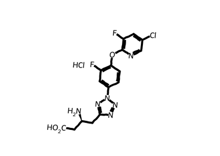 Cl.N[C@H](CC(=O)O)Cc1nnn(-c2ccc(Oc3ncc(Cl)cc3F)c(F)c2)n1